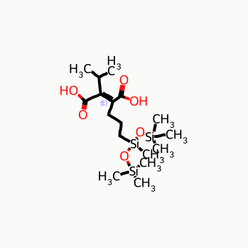 CC(C)/C(C(=O)O)=C(/CCC[Si](C)(O[Si](C)(C)C)O[Si](C)(C)C)C(=O)O